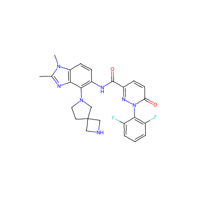 Cc1nc2c(N3CCC4(CNC4)C3)c(NC(=O)c3ccc(=O)n(-c4c(F)cccc4F)n3)ccc2n1C